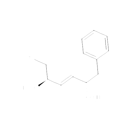 CC(C)C[C@@H](C=C[C@H](Cc1ccccc1)C(=O)O)C(=O)O